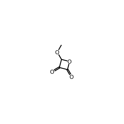 COC1OC(=O)C1=O